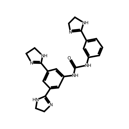 O=C(Nc1cccc(C2=NCCN2)c1)Nc1cc(C2=NCCN2)cc(C2=NCCN2)c1